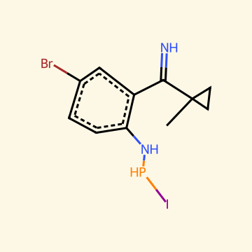 CC1(C(=N)c2cc(Br)ccc2NPI)CC1